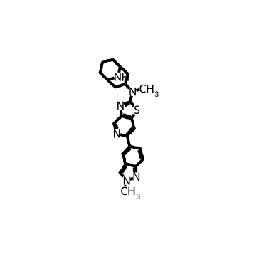 CN(c1nc2cnc(-c3ccc4nn(C)cc4c3)cc2s1)C1CC2CCCC(C1)N2